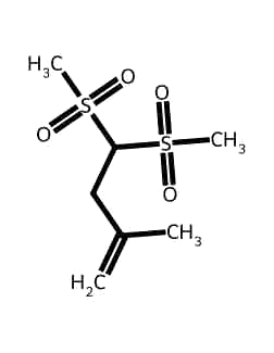 C=C(C)CC(S(C)(=O)=O)S(C)(=O)=O